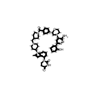 Cc1cc2c(N3CCC(=O)NC3=O)cccc2n1C1CCN(CC2CCN(C(=O)c3ccc([C@@H]4CN(c5cc(-c6ccccc6O)nnc5N)CCO4)cc3)CC2)CC1